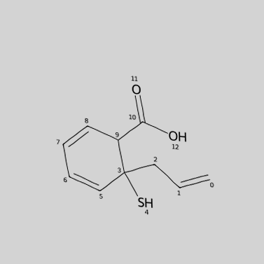 C=CCC1(S)C=CC=CC1C(=O)O